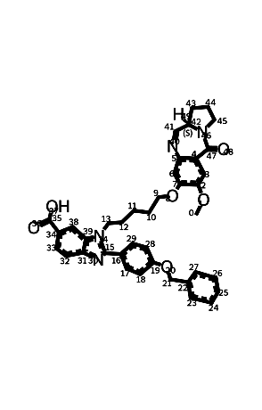 COc1cc2c(cc1OCCCCCn1c(-c3ccc(OCc4ccccc4)cc3)nc3ccc(C(=O)O)cc31)N=C[C@@H]1CCCN1C2=O